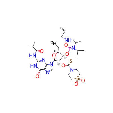 [2H]C[C@H]1OC(n2cnc3c(=O)[nH]c(NC(=O)C(C)C)nc32)[C@@H](OC(=S)N2CCS(=O)(=O)CC2)[C@H]1OP(ONCC=C)N(C(C)C)C(C)C